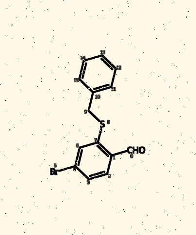 O=Cc1ccc(Br)cc1SCc1ccccc1